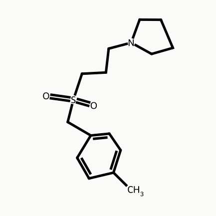 Cc1ccc(CS(=O)(=O)CCCN2CCCC2)cc1